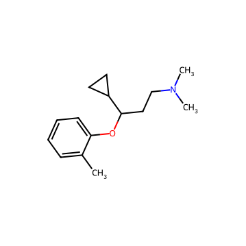 Cc1ccccc1OC(CCN(C)C)C1CC1